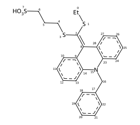 CCSC(SCCCS(=O)(=O)O)=C1c2ccccc2N(Cc2ccccc2)c2ccccc21